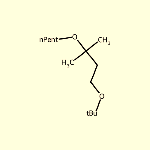 CCCCCOC(C)(C)CCOC(C)(C)C